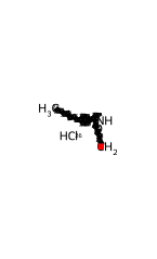 C=CCCCOCC1NCCC1c1ccc(CCCCCCCC)cc1.Cl